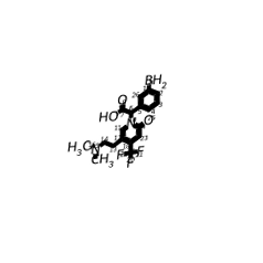 Bc1cccc(C(C(=O)O)n2cc(CCN(C)C)c(C(F)(F)F)cc2=O)c1